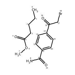 CCCCC(=O)OC.NC(=O)c1ccc(C(=O)CBr)cc1